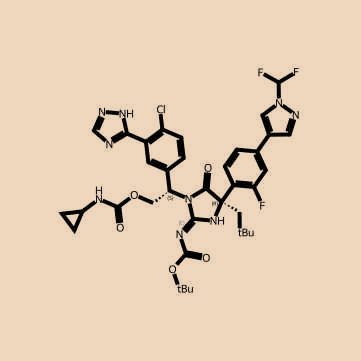 CC(C)(C)C[C@]1(c2ccc(-c3cnn(C(F)F)c3)cc2F)N/C(=N\C(=O)OC(C)(C)C)N([C@H](COC(=O)NC2CC2)c2ccc(Cl)c(-c3ncn[nH]3)c2)C1=O